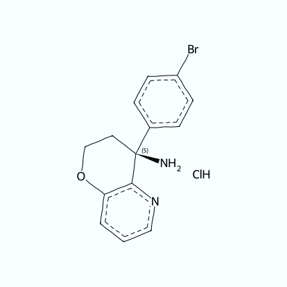 Cl.N[C@]1(c2ccc(Br)cc2)CCOc2cccnc21